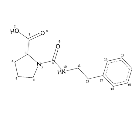 O=C(O)[C@H]1CCCN1C(=O)NCCc1ccccc1